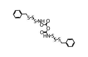 O=C(NSSSCc1ccccc1)OC(=O)ONSSSCc1ccccc1